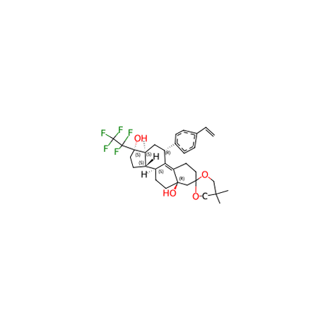 C=Cc1ccc([C@H]2C[C@@]3(C)[C@@H](CC[C@@]3(O)C(F)(F)C(F)(F)F)[C@@H]3CC[C@@]4(O)CC5(CCC4=C32)OCC(C)(C)CO5)cc1